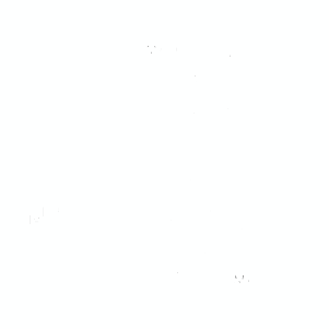 Br.Br.COC(=O)P(C)(CCP(C)(C(=O)OC)(c1ccccc1)c1ccccc1)(c1ccccc1)c1ccccc1